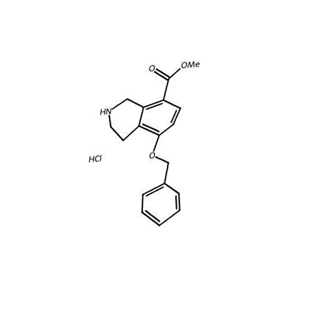 COC(=O)c1ccc(OCc2ccccc2)c2c1CNCC2.Cl